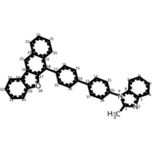 Cc1nc2ccccc2n1-c1ccc(-c2ccc(-c3c4ccccc4cc4c3oc3ccccc34)cc2)cc1